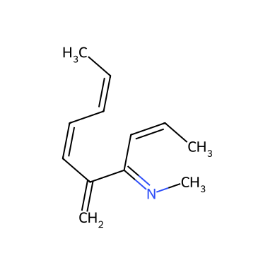 C=C(/C=C\C=C/C)C(/C=C\C)=N/C